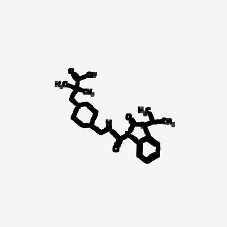 CC(C)n1c(=O)n(C(=O)NCC2CCN(CC(C)(C)C(=O)O)CC2)c2ccccc21